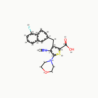 [C-]#[N+]c1c(N2CCOCC2)sc(C(=O)O)c1Cc1ccc2c(F)cccc2c1